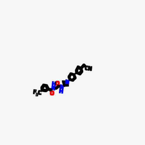 N#CCc1ccc([C@H]2CC[C@@H](N3CC(NC(=O)CNC(=O)c4cccc(C(F)(F)F)c4)C3)CC2)cc1